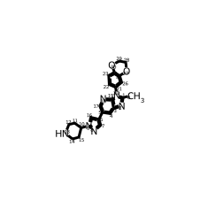 Cc1nc2cc(-c3cnn(C4CCNCC4)c3)cnc2n1-c1ccc2c(c1)OCCO2